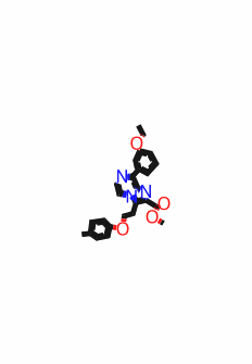 CCOc1cccc(-c2nccn3c(CCOc4ccc(C)cc4)c(C(=O)OC)nc23)c1